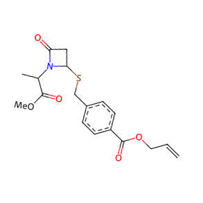 C=CCOC(=O)c1ccc(CSC2CC(=O)N2C(C)C(=O)OC)cc1